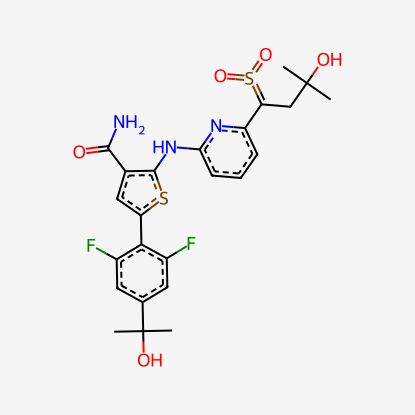 CC(C)(O)CC(c1cccc(Nc2sc(-c3c(F)cc(C(C)(C)O)cc3F)cc2C(N)=O)n1)=S(=O)=O